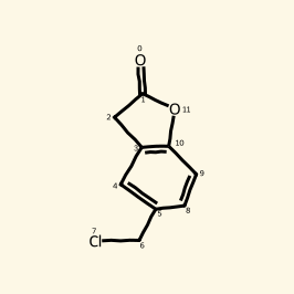 O=C1Cc2cc(CCl)ccc2O1